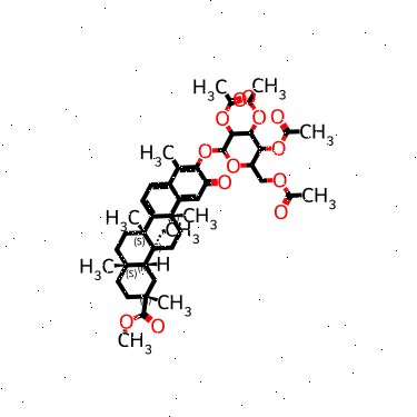 CC[C@@]12CC[C@@]3(C)C4=CC(=O)C(OC5OC(COC(C)=O)C(OC(C)=O)C(OC(C)=O)C5OC(C)=O)=C(C)C4=CC=C3[C@@]1(C)CC[C@@]1(C)CC[C@@](C)(C(=O)OC)C[C@H]12